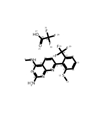 CNc1nc(N)nc2nc(-c3c(SC)cccc3C(F)(F)F)ccc12.O=C(O)C(F)(F)F